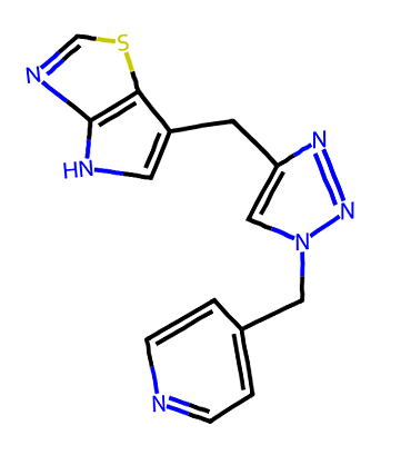 c1cc(Cn2cc(Cc3c[nH]c4ncsc34)nn2)ccn1